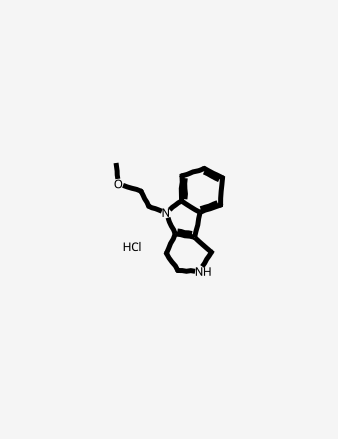 COCCn1c2c(c3ccccc31)CNCC2.Cl